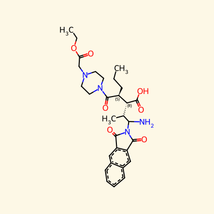 CCC[C@H](C(=O)N1CCN(CC(=O)OCC)CC1)[C@H](C(=O)O)C(C)C(N)N1C(=O)c2cc3ccccc3cc2C1=O